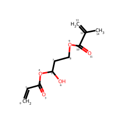 C=CC(=O)OC(O)CCOC(=O)C(=C)C